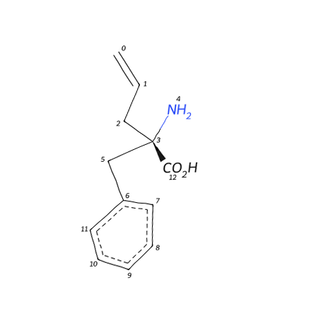 C=CC[C@](N)(Cc1ccccc1)C(=O)O